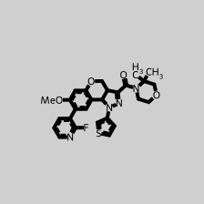 COc1cc2c(cc1-c1cccnc1F)C1C(CO2)C(C(=O)N2CCOCC2(C)C)=NN1c1ccsc1